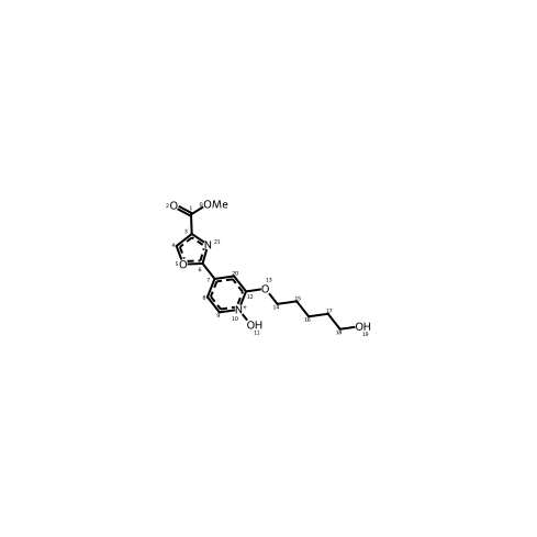 COC(=O)c1coc(-c2cc[n+](O)c(OCCCCCO)c2)n1